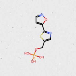 O[PH](O)(O)OCc1cnc(-c2ccno2)s1